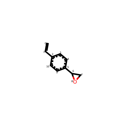 C=Cc1ccc(C2CO2)cc1